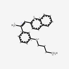 C/C(=C/c1ccc2ccccc2n1)c1cccc(OCCCC(=O)O)c1